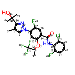 Cc1cn(-c2cc(O[C@@H](C)C(F)(F)F)c(C(=O)Nc3c(F)cccc3Cl)cc2F)nc1C(C)(C)O